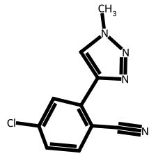 Cn1cc(-c2cc(Cl)ccc2C#N)nn1